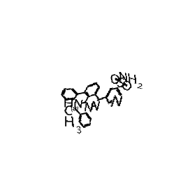 C[C@H](Nc1nnc(-c2cncc(S(N)(=O)=O)c2)c2cccc(-c3ccccc3)c12)c1ccccc1